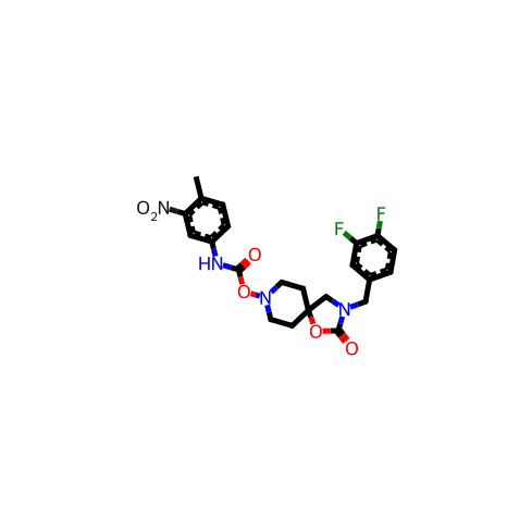 Cc1ccc(NC(=O)ON2CCC3(CC2)CN(Cc2ccc(F)c(F)c2)C(=O)O3)cc1[N+](=O)[O-]